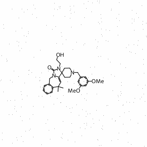 COc1cc(CN2CCC3(CC2)C2=CC(C)(C)c4ccccc4CN2C(=O)N3CCO)cc(OC)c1